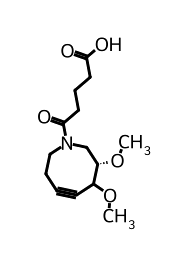 COC1C#CCCN(C(=O)CCCC(=O)O)C[C@@H]1OC